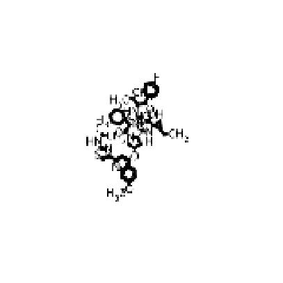 C=CC1C[C@]1(NC(=O)[C@@H]1C[C@@H](Oc2cc(-c3csc(NC(C)C)n3)nc3cc(OC)ccc23)CN1C(=O)[C@@H](NC(=O)NC(C(=O)c1ccc(F)cc1)C(C)C)C1(C)CCCCC1)C(=O)O